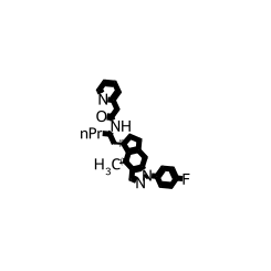 CCCC(C[C@H]1CCC2=C1[C@@H](C)c1cnn(-c3ccc(F)cc3)c1C2)NC(=O)Cc1ccccn1